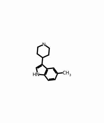 Cc1ccc2[nH]cc(C3CC[N]CC3)c2c1